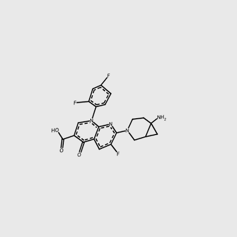 NC12CCN(c3nc4c(cc3F)c(=O)c(C(=O)O)cn4-c3ccc(F)cc3F)CC1C2